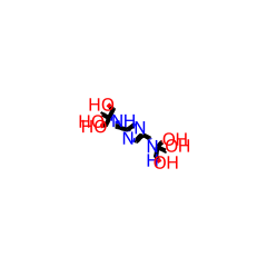 OCC(CO)(CO)NCc1cnc(CNC(CO)(CO)CO)cn1